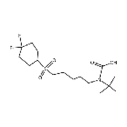 CC(C)(C)N(CCCCCS(=O)(=O)C1CCC(F)(F)CC1)C(=O)O